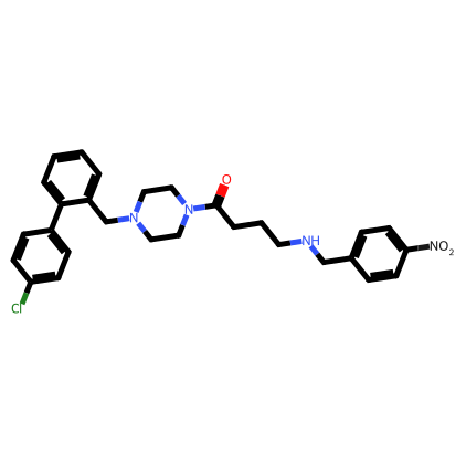 O=C(CCCNCc1ccc([N+](=O)[O-])cc1)N1CCN(Cc2ccccc2-c2ccc(Cl)cc2)CC1